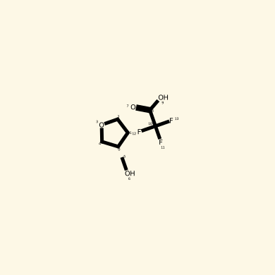 C1CCOC1.CO.O=C(O)C(F)(F)F